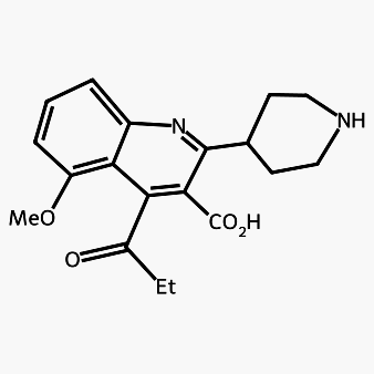 CCC(=O)c1c(C(=O)O)c(C2CCNCC2)nc2cccc(OC)c12